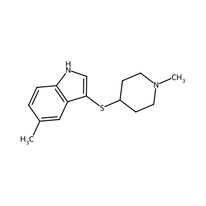 Cc1ccc2[nH]cc(SC3CCN(C)CC3)c2c1